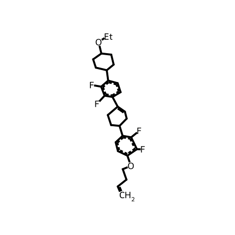 C=CCCOc1ccc(C2CC=C(c3ccc(C4CCC(OCC)CC4)c(F)c3F)CC2)c(F)c1F